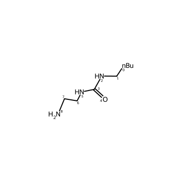 CCCCCNC(=O)NCCN